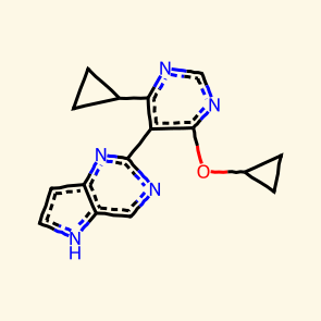 c1nc(OC2CC2)c(-c2ncc3[nH]ccc3n2)c(C2CC2)n1